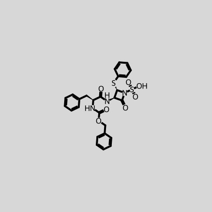 O=C(N[C@@H](Cc1ccccc1)C(=O)N[C@@H]1C(=O)N(S(=O)(=O)O)[C@H]1Sc1ccccc1)OCc1ccccc1